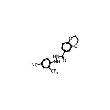 N#Cc1ccc(NNC(=O)c2ccc3c(c2)OCCO3)c(C(F)(F)F)c1